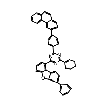 C1=CC(c2nc(-c3ccc(-c4ccc5ccc6ccccc6c5c4)cc3)nc(-c3cccc4oc5cc(-c6ccccc6)ccc5c34)n2)=CCC1